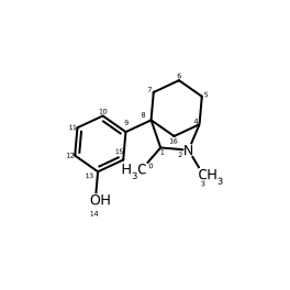 CC1N(C)C2CCCC1(c1cccc(O)c1)C2